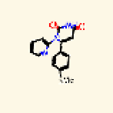 CSc1ccc(-c2cc(=O)[nH]c(=O)n2-c2ccccn2)cc1